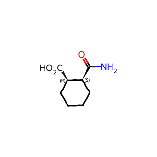 NC(=O)[C@H]1CCCC[C@H]1C(=O)O